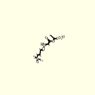 CCOC(=O)C(C)OC(=O)CNOCCCS(=O)(=O)I